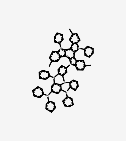 Cc1ccc2c(c1)c1c(c3c4cc(C)ccc4n(-c4ccc5c(c4)B4c6ccccc6N(c6ccccc6)c6cc(N(c7ccccc7)c7ccccc7)cc(c64)N5c4ccccc4)c3c3c4cc(C)ccc4n(-c4ccccc4)c13)n2-c1ccccc1